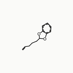 C=CCCCC1Oc2ccccc2O1